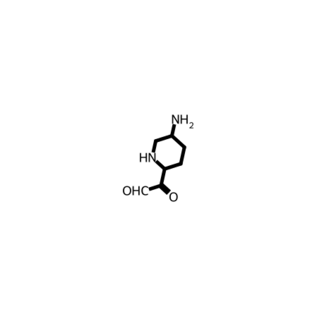 NC1CCC(C(=O)C=O)NC1